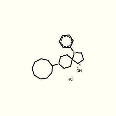 Cl.O[C@H]1CCN(c2ccccc2)C12CCN(C1CCCCCCCC1)CC2